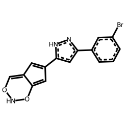 Brc1cccc(-c2cc(C3=CC4=CONOC4=C3)[nH]n2)c1